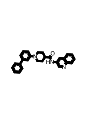 O=C(Nc1cnc2ccccc2c1)C1CCN(c2cccc(-c3ccccc3)c2)CC1